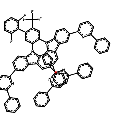 Fc1cccc(F)c1-c1cc(-n2c3ccc(-c4cccc(-c5ccccc5)n4)cc3c3cc(-c4cccc(-c5ccccc5)n4)ccc32)c(-n2c3ccc(-c4cccc(-c5ccccc5)n4)cc3c3cc(-c4cccc(-c5ccccc5)n4)ccc32)cc1C(F)(F)F